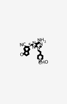 N#Cc1cc2c(cc1Sc1nc3c(N)ncn(CCC4CCN(C=O)CC4)c-3n1)CCC2=O